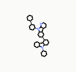 c1ccc(-c2cccc(-n3c4ccc(-c5cccc6c5c5ccccc5n6-c5ccccc5)cc4c4cccnc43)c2)cc1